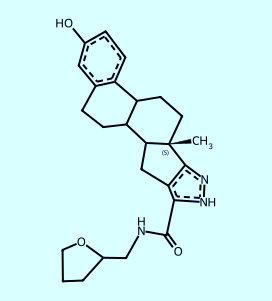 C[C@]12CCC3c4ccc(O)cc4CCC3C1Cc1c2n[nH]c1C(=O)NCC1CCCO1